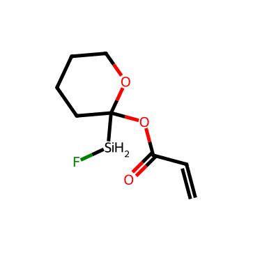 C=CC(=O)OC1([SiH2]F)CCCCO1